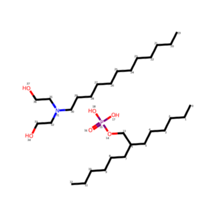 CCCCCCC(CCCCCC)COP(=O)(O)O.CCCCCCCCCCCCN(CCO)CCO